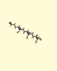 C=CCC/C=C(\C)CC/C=C(\C)CCC=C(C)C